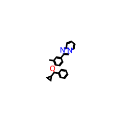 Cc1cc(-c2cn3ccccc3n2)ccc1OC(c1ccccc1)C1CC1